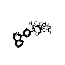 CC1(C)COB(c2ccc(-c3nccc4ccccc34)cc2)OC1(C)C